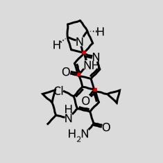 CC(Nc1c(C(N)=O)ccc(C(=O)N[C@H]2C[C@H]3CC[C@@H](C2)N3c2ccc(C(=O)C3CC3)cn2)c1Cl)C1CC1